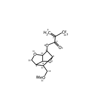 C=C(C(=O)OC1C2OC3C(COC31)C2COC)C(F)(F)F